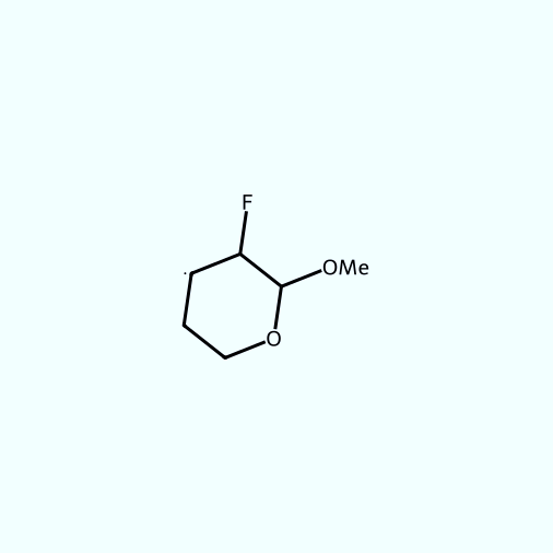 COC1OCC[CH]C1F